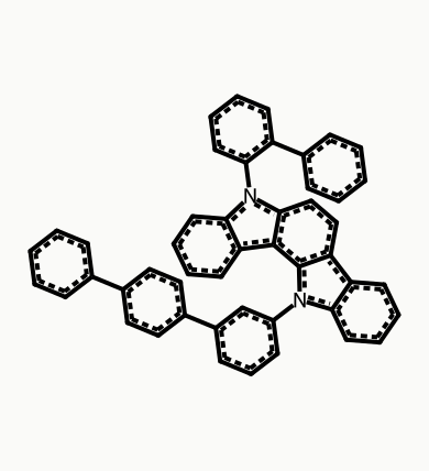 c1ccc(-c2ccc(-c3cccc(-n4c5ccccc5c5ccc6c(c7ccccc7n6-c6ccccc6-c6ccccc6)c54)c3)cc2)cc1